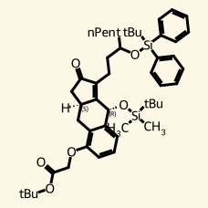 CCCCCC(CCC1=C2[C@H](CC1=O)Cc1c(OCC(=O)OC(C)(C)C)cccc1[C@H]2O[Si](C)(C)C(C)(C)C)O[Si](c1ccccc1)(c1ccccc1)C(C)(C)C